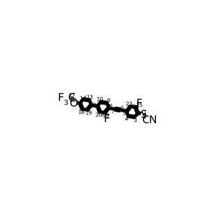 N#CSc1ccc(C#Cc2ccc(-c3ccc(OC(F)(F)F)cc3)cc2F)cc1F